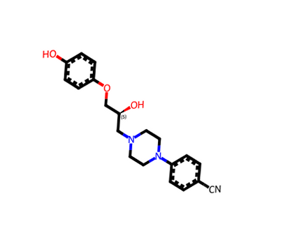 N#Cc1ccc(N2CCN(C[C@H](O)COc3ccc(O)cc3)CC2)cc1